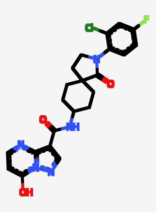 O=C(NC1CCC2(CC1)CCN(c1ccc(F)cc1Cl)C2=O)c1cnn2c(O)ccnc12